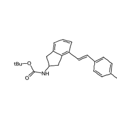 Cc1ccc(C=Cc2cccc3c2CC(NC(=O)OC(C)(C)C)C3)cc1